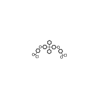 O=C(Cl)c1ccc(Oc2ccc(C(c3ccccc3)(c3ccccc3)c3ccc(Oc4ccc(C(=O)Cl)cc4)cc3)cc2)cc1